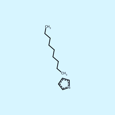 CCCCCCCCC.c1ccsc1